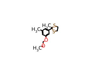 COCOc1cc(C)cc(C2(C)SCCS2)c1